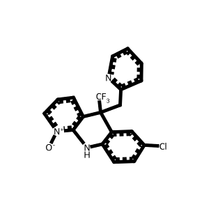 [O-][n+]1cccc2c1Nc1ccc(Cl)cc1C2(Cc1ccccn1)C(F)(F)F